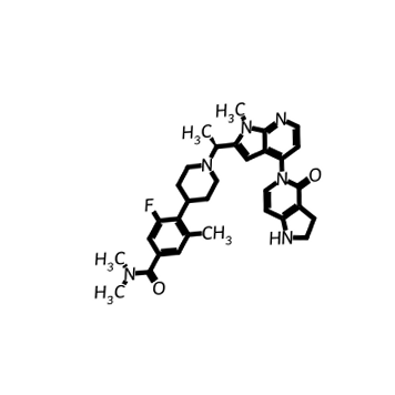 Cc1cc(C(=O)N(C)C)cc(F)c1C1CCN([C@@H](C)c2cc3c(-n4ccc5c(c4=O)CCN5)ccnc3n2C)CC1